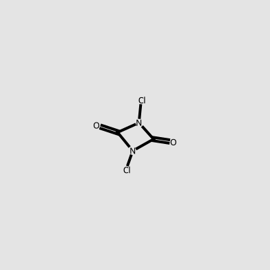 O=C1N(Cl)C(=O)N1Cl